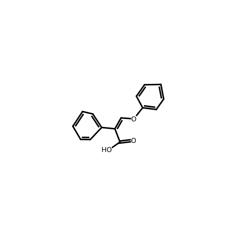 O=C(O)C(=COc1ccccc1)c1ccccc1